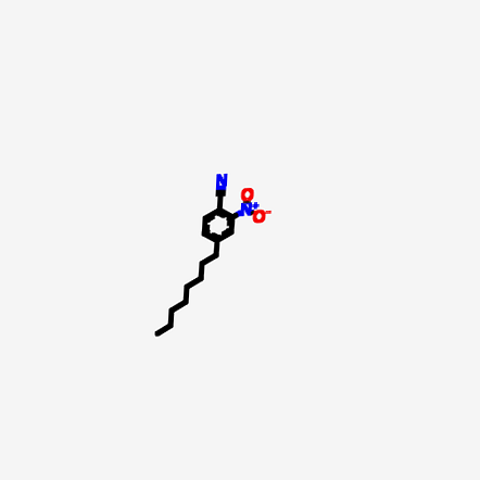 CCCCCCCCc1ccc(C#N)c([N+](=O)[O-])c1